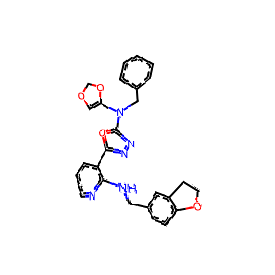 C1=C(N(Cc2ccccc2)c2nnc(-c3cccnc3NCc3ccc4c(c3)CCO4)o2)OCO1